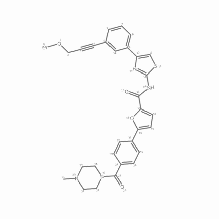 CC(C)OCC#Cc1cccc(-c2csc(NC(=O)c3ccc(-c4ccc(C(=O)N5CCN(C)CC5)cc4)o3)n2)c1